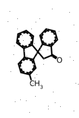 Cc1ccc2c(c1)C1(CC(=O)c3ccccc31)c1ccccc1-2